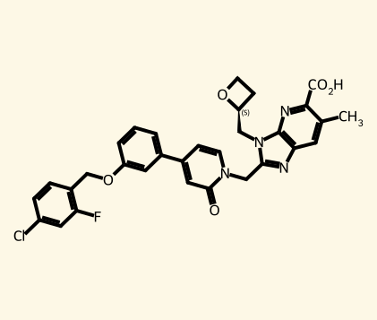 Cc1cc2nc(Cn3ccc(-c4cccc(OCc5ccc(Cl)cc5F)c4)cc3=O)n(C[C@@H]3CCO3)c2nc1C(=O)O